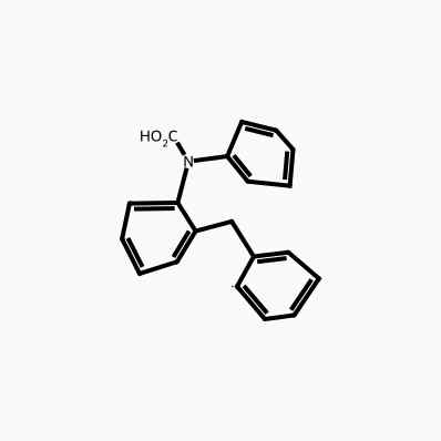 O=C(O)N(c1ccccc1)c1ccccc1Cc1[c]cccc1